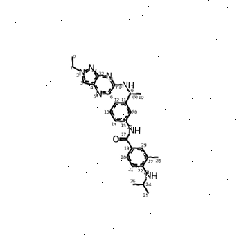 CCn1cc2ncc(N[C@@H](C)c3cccc(NC(=O)c4ccc(NC(C)C)c(C)c4)c3)nc2n1